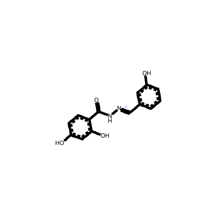 O=C(N/N=C/c1cccc(O)c1)c1ccc(O)cc1O